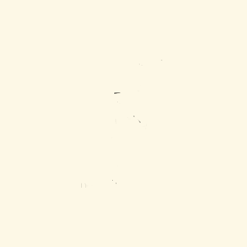 CCCC[C@H]1CC[C@H]2[C@@H]3CCc4cc(NS(=O)(=O)O)ccc4[C@H]3CC[C@]12C